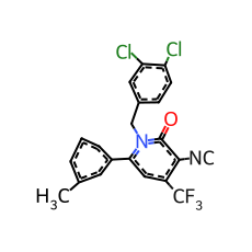 [C-]#[N+]c1c(C(F)(F)F)cc(-c2cccc(C)c2)n(Cc2ccc(Cl)c(Cl)c2)c1=O